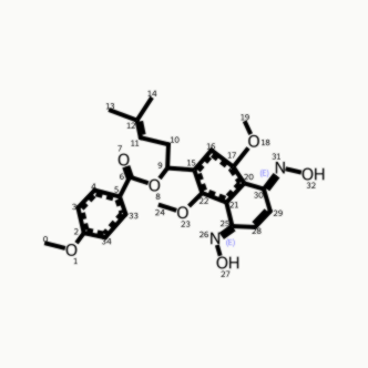 COc1ccc(C(=O)OC(CC=C(C)C)c2cc(OC)c3c(c2OC)/C(=N/O)C=C/C3=N\O)cc1